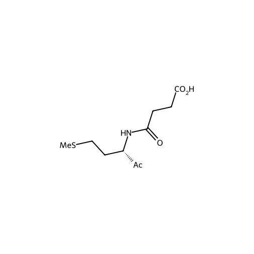 CSCC[C@H](NC(=O)CCC(=O)O)C(C)=O